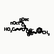 CCCCCCCCCCC(CCCCCCCC)COCC(COP(=O)([O-])OCC[n+]1cccc(C)c1)OCCCCC(=O)O